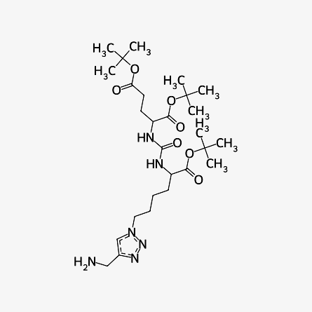 CC(C)(C)OC(=O)CCC(NC(=O)NC(CCCCn1cc(CN)nn1)C(=O)OC(C)(C)C)C(=O)OC(C)(C)C